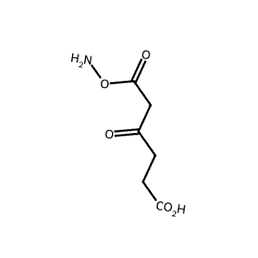 NOC(=O)CC(=O)CCC(=O)O